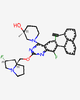 C#Cc1cccc2cccc(-c3c(F)cc4c(N5CCC[C@](C)(O)C5)nc(OC[C@@]56CCCN5C[C@H](F)C6)nc4c3F)c12